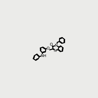 O=c1c(COc2cccc(Nc3ccccc3)c2)nc2ccccc2n1Cc1ccccc1